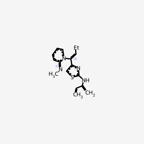 C=CC(=C)Nc1nc(/C(=C/CC)n2cccc/c2=N\C)cs1